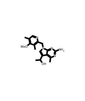 COc1c(C)cnc(Cn2cc(C(C)O)c3c(C)nc(N)nc32)c1C